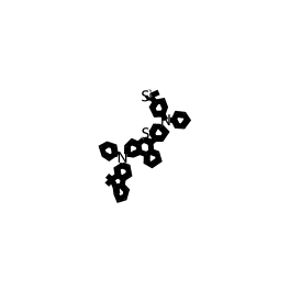 CC1(C)c2ccccc2-c2ccc(N(c3ccccc3)c3ccc4c(c3)c3ccccc3c3c5ccc(N(c6ccccc6)c6ccc([Si](C)(C)C)cc6)cc5sc43)cc21